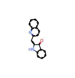 O=C1/C(=C\c2ccc3ccccc3n2)Nc2ccccc21